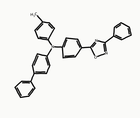 Cc1ccc(N(c2ccc(-c3ccccc3)cc2)c2ccc(-c3nc(-c4ccccc4)no3)cc2)cc1